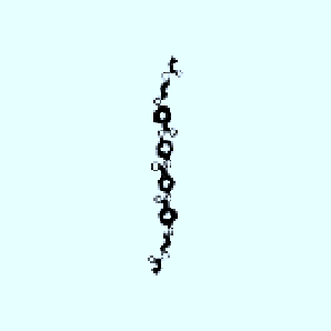 C=CC(=O)OCCCOc1ccc(C(=O)OC2=CC=C(OC(=O)c3ccc(OC(=O)c4ccc(OCCCOC(=O)C=C)cc4)cc3)CC2)cc1